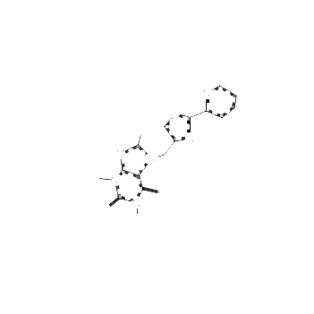 Cn1c(=O)c2c(nc(Cl)n2Cc2csc(-c3ccccn3)n2)n(C)c1=O